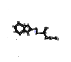 [N-]=[N+]=NC(=O)/C=C/c1cc2ccccc2s1